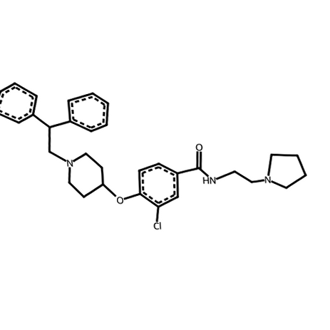 O=C(NCCN1CCCC1)c1ccc(OC2CCN(CC(c3ccccc3)c3ccccc3)CC2)c(Cl)c1